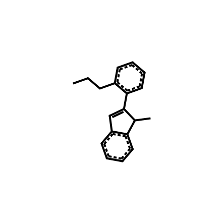 CCCc1ccccc1C1=Cc2ccccc2[C]1C